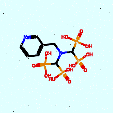 O=P(O)(O)C(N(Cc1cccnc1)C(P(=O)(O)O)P(=O)(O)O)P(=O)(O)O